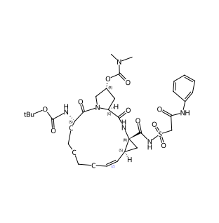 CN(C)C(=O)O[C@@H]1C[C@H]2C(=O)N[C@]3(C(=O)NS(=O)(=O)CC(=O)Nc4ccccc4)C[C@H]3/C=C\CCCCC[C@H](NC(=O)OC(C)(C)C)C(=O)N2C1